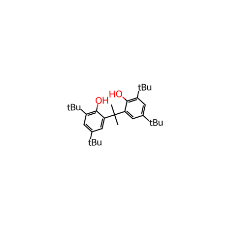 CC(C)(C)c1cc(C(C)(C)C)c(O)c(C(C)(C)c2cc(C(C)(C)C)cc(C(C)(C)C)c2O)c1